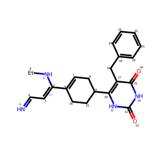 CCN/C(=C\C=N)C1=CCC(c2[nH]c(=O)[nH]c(=O)c2Cc2ccccc2)CC1